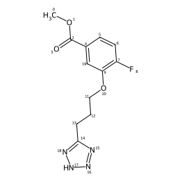 COC(=O)c1ccc(F)c(OCCCc2nn[nH]n2)c1